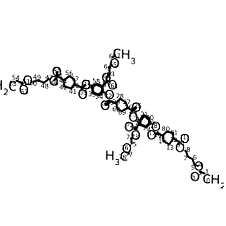 C=CC(=O)OCCCCOC(=O)C1CCC(C(=O)Oc2ccc(OC(=O)C3CCC(C(=O)Oc4ccc(OC(=O)C5CCC(C(=O)OCCCCOC(=O)C=C)CC5)cc4C(=O)OCCOCC)CC3)c(C(=O)OCCOCC)c2)CC1